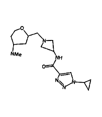 CNC1CCOC(CN2CC(NC(=O)c3cn(C4CC4)nn3)C2)C1